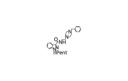 CCCCCn1nc(C(=O)NCCN2CCN(Cc3ccccc3)CC2)c2ccccc21